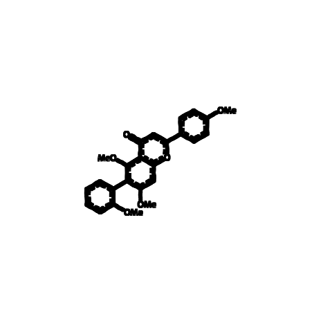 COc1ccc(-c2cc(=O)c3c(OC)c(-c4ccccc4OC)c(OC)cc3o2)cc1